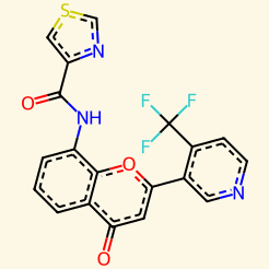 O=C(Nc1cccc2c(=O)cc(-c3cnccc3C(F)(F)F)oc12)c1cscn1